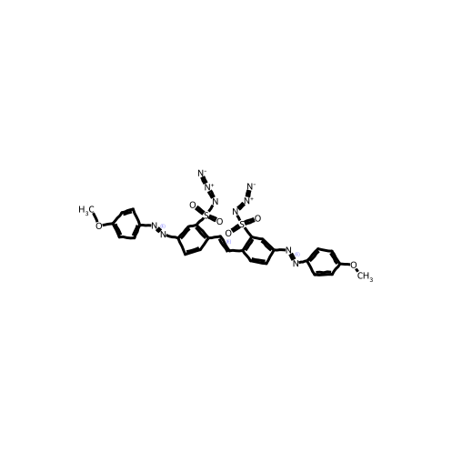 COc1ccc(/N=N/c2ccc(/C=C/c3ccc(/N=N/c4ccc(OC)cc4)cc3S(=O)(=O)N=[N+]=[N-])c(S(=O)(=O)N=[N+]=[N-])c2)cc1